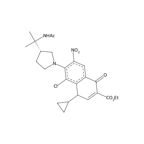 CCOC(=O)C1=CC(C2CC2)c2c(cc([N+](=O)[O-])c(N3CC[C@H](C(C)(C)NC(C)=O)C3)c2Cl)C1=O